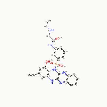 COc1cc(O)cc(Nc2nc3ccccc3nc2NS(=O)(=O)c2cccc(NC(=O)CNCC(C)C)c2)c1